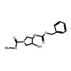 CC(C)(C)OC(=O)N1CC(O)C(NC(=O)OCc2ccccc2)C1